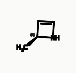 C[C@H]1C=CN1